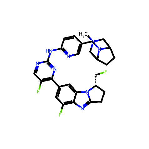 CN1CC2CCC(C1)N2Cc1ccc(Nc2ncc(F)c(-c3cc(F)c4nc5n(c4c3)[C@H](CF)CC5)n2)nc1